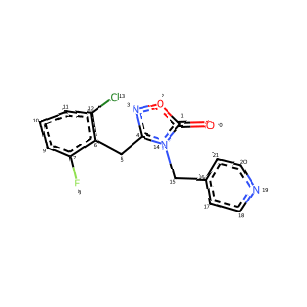 O=c1onc(Cc2c(F)cccc2Cl)n1Cc1ccncc1